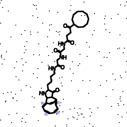 O=C(CCC(=O)C1CCCCCCCCC1)NCC(=O)NCC(=O)NCCCCC1NC2/C3=C/C=C\C=C/C=C(C=C3)/C2C1=O